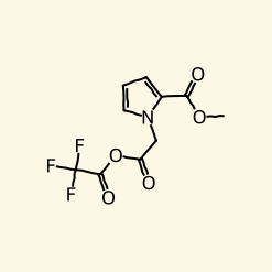 COC(=O)c1cccn1CC(=O)OC(=O)C(F)(F)F